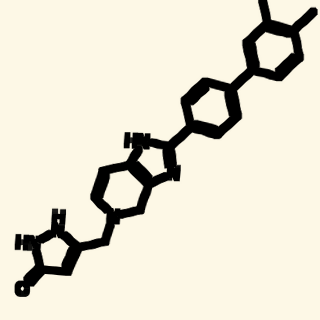 Cc1ccc(-c2ccc(-c3nc4c([nH]3)C=CN(Cc3cc(=O)[nH][nH]3)C4)cc2)cc1C